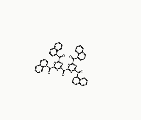 O=C(c1nc(C(=O)c2cccc3ccccc23)nc(C(=O)c2cccc3ccccc23)n1)c1nc(C(=O)c2cccc3ccccc23)nc(C(=O)c2cccc3ccccc23)n1